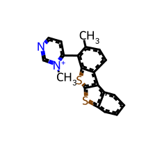 Cc1ccc2c(sc3sc4ccccc4c32)c1-c1ccnc[n+]1C